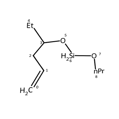 C=CCC(CC)O[SiH2]OCCC